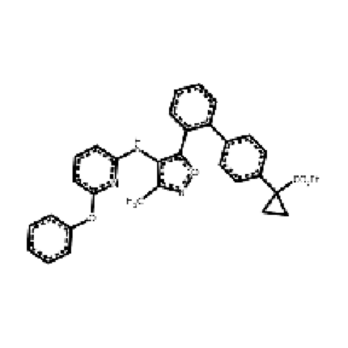 CCOC(=O)C1(c2ccc(-c3ccccc3-c3onc(C)c3Nc3cccc(Oc4ccccc4)n3)cc2)CC1